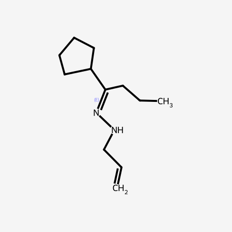 C=CCN/N=C(\CCC)C1CCCC1